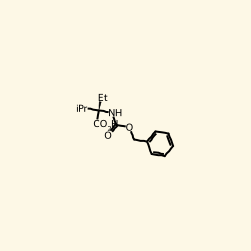 CC[C@@](NC(=O)OCc1ccccc1)(C(=O)O)C(C)C